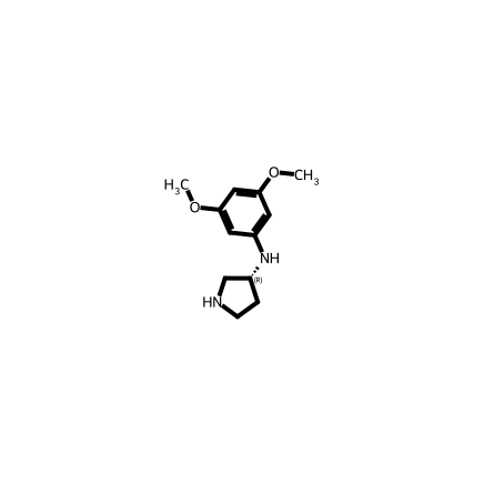 COc1cc(N[C@@H]2CCNC2)cc(OC)c1